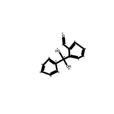 O=Cc1ccccc1C(O)(O)c1ccccc1